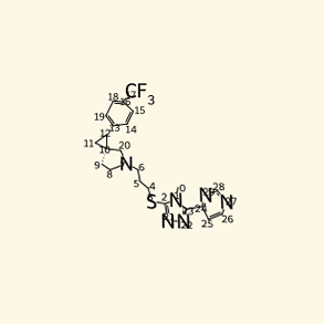 Cn1c(SCCCN2CC[C@@]3(C[C@@H]3c3ccc(C(F)(F)F)cc3)C2)nnc1-c1ccncn1